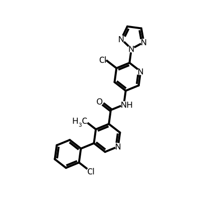 Cc1c(C(=O)Nc2cnc(-n3nccn3)c(Cl)c2)cncc1-c1ccccc1Cl